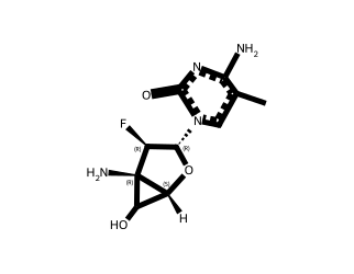 Cc1cn([C@@H]2O[C@@H]3C(O)[C@]3(N)[C@H]2F)c(=O)nc1N